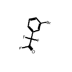 O=C(F)C(F)(F)c1cccc(Br)c1